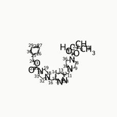 CC(C)(C)OC(=O)N1CCN(Cc2ccc(CN3CCN(C(=O)OCc4ccccc4)CC3)nn2)CC1